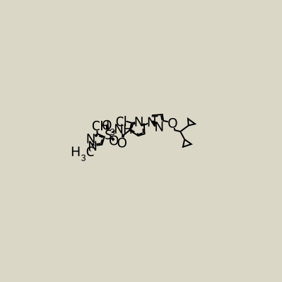 Cc1nn(C)cc1S(=O)(=O)NC(=O)c1ccc(-n2ccc(OCC(C3CC3)C3CC3)n2)nc1Cl